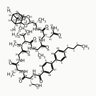 CCCCc1ccc(-c2ccc(C(=O)N[C@H](CO)C(=O)N[C@H](C)C(=O)NCC(=O)N(C)[C@H](C(=O)N[C@@H](C)C(=O)N[C@@H](CC(N)=O)C(=O)N[C@@H](C)B3OC4C[C@@H]5C[C@@H](C5(C)C)[C@]4(C)O3)C(C)O)cc2)cc1